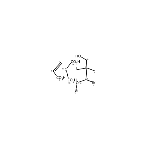 C=CC(=O)O.CC(C)(CO)C(Br)OBr.O=C(O)OC(=O)O